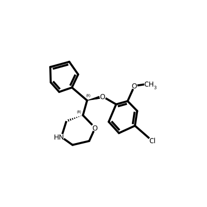 COc1cc(Cl)ccc1O[C@H](c1ccccc1)[C@H]1CNCCO1